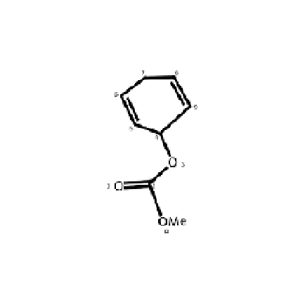 COC(=O)OC1C=CCC=C1